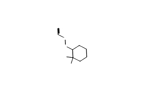 C=CPSC1CCCCC1(C)C